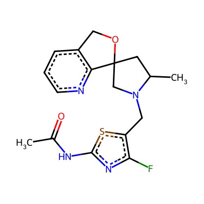 CC(=O)Nc1nc(F)c(CN2CC3(CC2C)OCc2cccnc23)s1